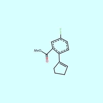 COC(=O)c1cc(F)ccc1C1=CCCC1